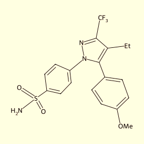 CCc1c(C(F)(F)F)nn(-c2ccc(S(N)(=O)=O)cc2)c1-c1ccc(OC)cc1